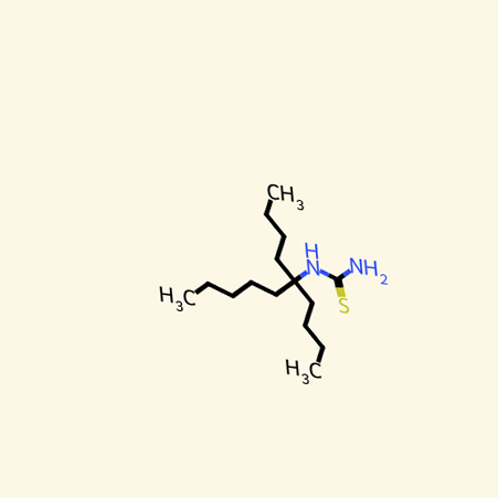 CCCCCC(CCCC)(CCCC)NC(N)=S